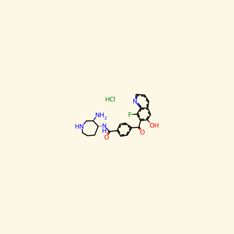 Cl.N[C@@H]1CNCCC[C@H]1NC(=O)c1ccc(C(=O)c2c(O)cc3cccnc3c2F)cc1